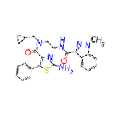 Cn1nc(C(=O)NCCN(CC2CC2)C(=O)c2nc(N)sc2-c2ccccc2)c2ccccc21